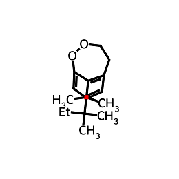 CCC(C)(C)C(C)(C)c1c2cccc1OOCC2